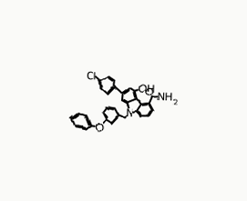 NC(=O)c1cccc2c1c1c(O)cc(-c3ccc(Cl)cc3)cc1n2Cc1cccc(Oc2ccccc2)c1